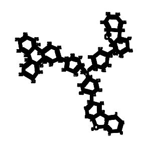 c1ccc2c(c1)oc1ccc(-c3ccc(N(c4ccc(-c5ccc6c7ccccc7c7ccccc7c6c5)cc4)c4ccc(-c5cccc6c5oc5ccccc56)cc4)cc3)cc12